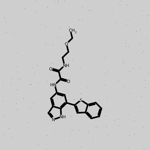 CCOCCNC(=O)C(=O)Nc1cc(-c2cc3ccccc3s2)c2[nH]ncc2c1